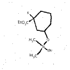 CCOC(=O)[C@@]1(F)CCCC(O[Si](C)(C)C(C)(C)C)C1